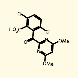 COc1cc(OC)nc(C(=O)c2c(Cl)ccc(Cl)c2C(=O)O)n1